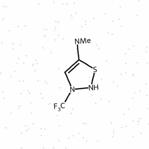 CNC1=CN(C(F)(F)F)NS1